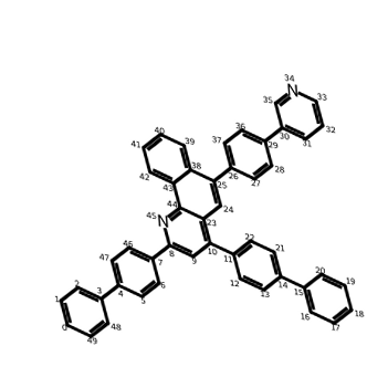 c1ccc(-c2ccc(-c3cc(-c4ccc(-c5ccccc5)cc4)c4cc(-c5ccc(-c6cccnc6)cc5)c5ccccc5c4n3)cc2)cc1